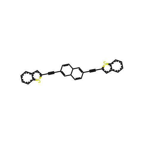 C(#Cc1cc2ccccc2s1)C1=CC2C=CC(C#Cc3cc4ccccc4s3)=CC2C=C1